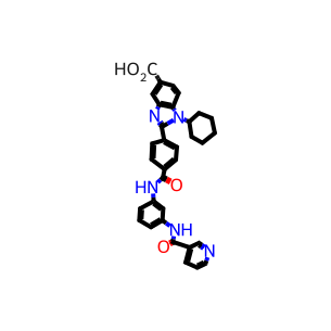 O=C(O)c1ccc2c(c1)nc(-c1ccc(C(=O)Nc3cccc(NC(=O)c4cccnc4)c3)cc1)n2C1CCCCC1